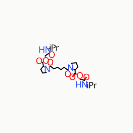 CC(C)NC(=O)COC(=O)C1CCCN1C(=O)CCCCC(=O)N1CCCC1C(=O)OCC(=O)NC(C)C